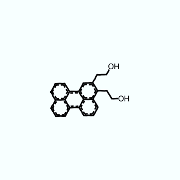 OCCc1cc2c3cccc4cccc(c5cccc(c1CCO)c52)c43